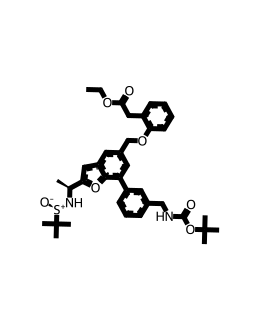 CCOC(=O)Cc1ccccc1OCc1cc(-c2cccc(CNC(=O)OC(C)(C)C)c2)c2oc([C@H](C)N[S@@+]([O-])C(C)(C)C)cc2c1